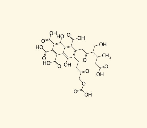 CC(CC(=O)O)C(CO)C(=O)Cc1c(CCC(=O)COC(=O)O)c(O)c2c(C(=O)O)c(C(=O)O)c(C(=O)O)c(O)c2c1C(=O)O